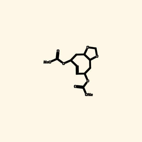 COC(=O)OC1/C=C/C(OC(=O)OC)CC2OCOC2C1